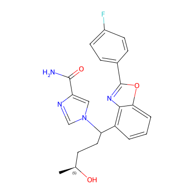 C[C@H](O)CCC(c1cccc2oc(-c3ccc(F)cc3)nc12)n1cnc(C(N)=O)c1